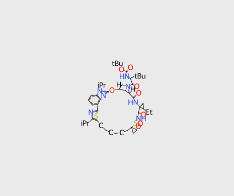 CC[C@@H]1C[C@@]12NC(=O)[C@@H]1C[C@H](CN1C(=O)[C@@H](NC(=O)OC(C)(C)C)C(C)(C)C)Oc1nc3c(cccc3n1C(C)C)-c1nc(C(C)C)c(s1)CCCCCCC1(CC1)S(=O)(=O)NC2=O